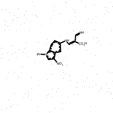 CC(C)n1cc([N+](=O)[O-])c2cc(N/C=C(\C=N)C(=O)O)ccc21